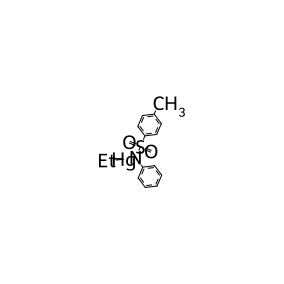 C[CH2][Hg][N](c1ccccc1)S(=O)(=O)c1ccc(C)cc1